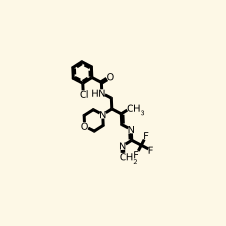 C=N/C(=N\C=C(/C)C(CNC(=O)c1ccccc1Cl)N1CCOCC1)C(F)(F)F